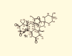 Cc1nnc(C2(CC[C@]3(C)C(C)C(=O)C=C4[C@@]5(C)[C@H]6O[C@@]6(C#N)C(=O)C(C)(C)[C@@H]5CC[C@]43C)CCC(C)(C)CC2)o1